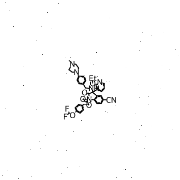 CCOc1ncccc1C1(NCc2ccc(N3CCN(C)CC3)cc2)C(=O)N(S(=O)(=O)c2ccc(OC(F)F)cc2)c2ccc(C#N)cc21